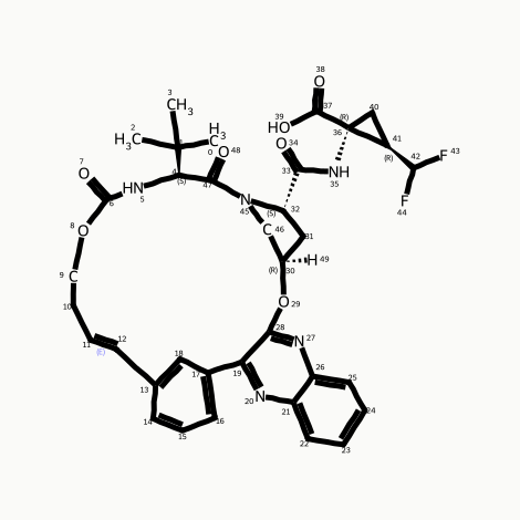 CC(C)(C)[C@@H]1NC(=O)OCC/C=C/c2cccc(c2)-c2nc3ccccc3nc2O[C@@H]2C[C@@H](C(=O)N[C@]3(C(=O)O)C[C@H]3C(F)F)N(C2)C1=O